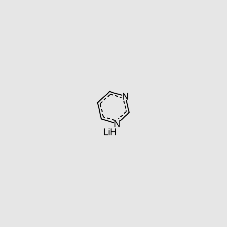 [LiH].c1cncnc1